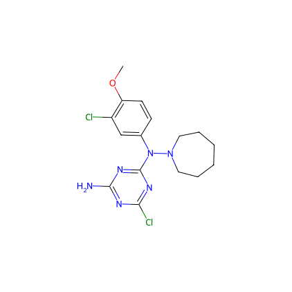 COc1ccc(N(c2nc(N)nc(Cl)n2)N2CCCCCC2)cc1Cl